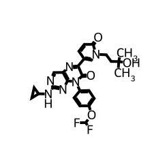 CC(C)(O)CCn1cc(-c2nc3cnc(NC4CC4)nc3n(-c3ccc(OC(F)F)cc3)c2=O)ccc1=O